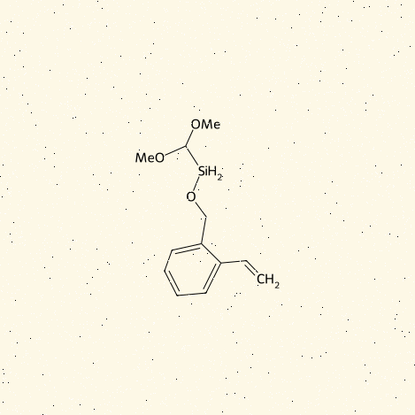 C=Cc1ccccc1CO[SiH2]C(OC)OC